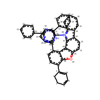 C1=CCCC(c2ccc(-c3nc(-c4ccccc4)nc(-c4ccccc4)n3)c3c2oc2ccc4c5ccccc5n(-c5ccccc5)c4c23)=C1